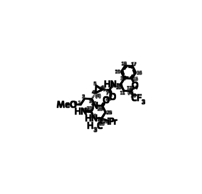 COCCC([C@@H]1C[C@H]1C(=O)N[C@H]1C[C@H](C(F)(F)F)Oc2ccccc21)N1C(=N)N[C@](C)(C(C)C)CC1=O